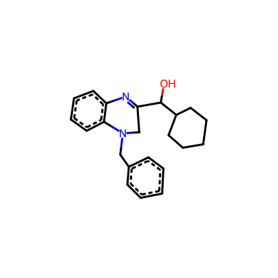 OC(C1=Nc2ccccc2N(Cc2ccccc2)C1)C1CCCCC1